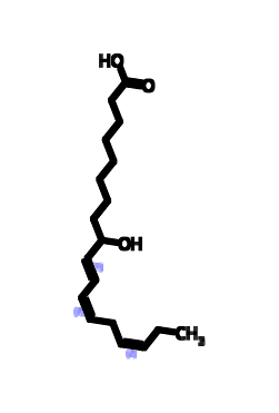 CC/C=C\C/C=C\C=C\C(O)CCCCCCCC(=O)O